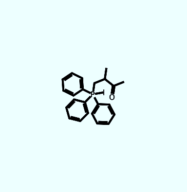 CC(=O)C(C)CP(I)(c1ccccc1)(c1ccccc1)c1ccccc1